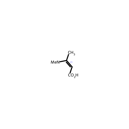 CN/C(C)=C\C(=O)O